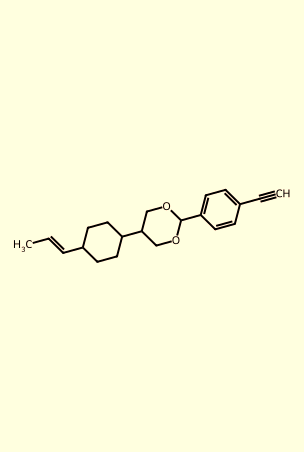 C#Cc1ccc(C2OCC(C3CCC(C=CC)CC3)CO2)cc1